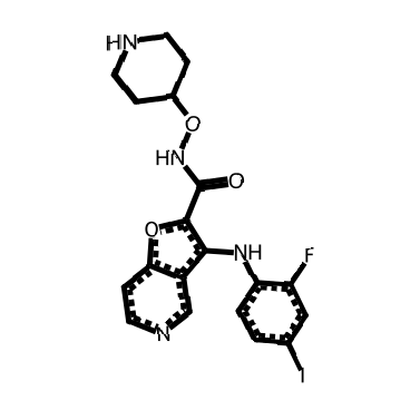 O=C(NOC1CCNCC1)c1oc2ccncc2c1Nc1ccc(I)cc1F